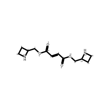 O=C(/C=C/C(=O)OCC1CCN1)OCC1CCN1